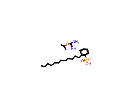 CC(C)OC(=N)N.CCCCCCCCCCCCc1ccccc1S(=O)(=O)O